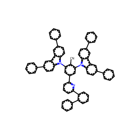 N#Cc1c(-n2c3ccc(-c4ccccc4)cc3c3cc(-c4ccccc4)ccc32)cc(-c2cccc(-c3ccccc3-c3ccccc3)n2)cc1-n1c2ccc(-c3ccccc3)cc2c2cc(-c3ccccc3)ccc21